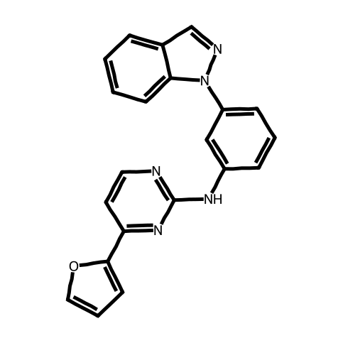 c1cc(Nc2nccc(-c3ccco3)n2)cc(-n2ncc3ccccc32)c1